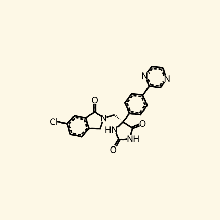 O=C1NC(=O)[C@](CN2Cc3ccc(Cl)cc3C2=O)(c2ccc(-c3cnccn3)cc2)N1